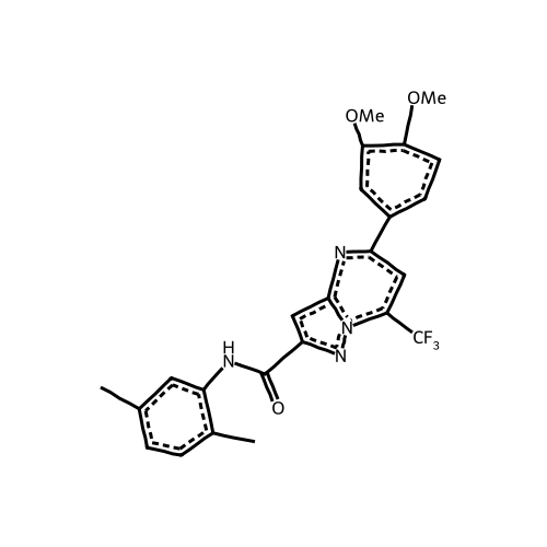 COc1ccc(-c2cc(C(F)(F)F)n3nc(C(=O)Nc4cc(C)ccc4C)cc3n2)cc1OC